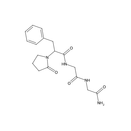 NC(=O)CNC(=O)CNC(=O)C(Cc1ccccc1)N1CCCC1=O